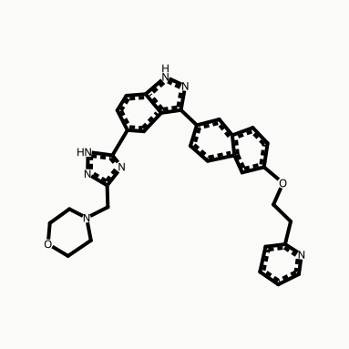 c1ccc(CCOc2ccc3cc(-c4n[nH]c5ccc(-c6nc(CN7CCOCC7)n[nH]6)cc45)ccc3c2)nc1